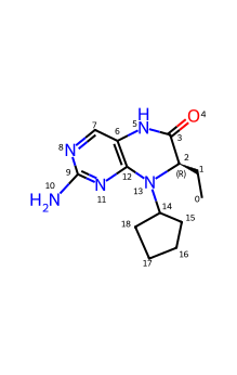 CC[C@@H]1C(=O)Nc2cnc(N)nc2N1C1CCCC1